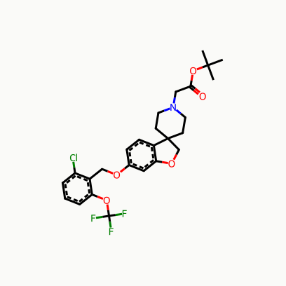 CC(C)(C)OC(=O)CN1CCC2(CC1)COc1cc(OCc3c(Cl)cccc3OC(F)(F)F)ccc12